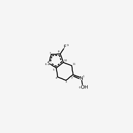 ON=C1CCc2scc(F)c2C1